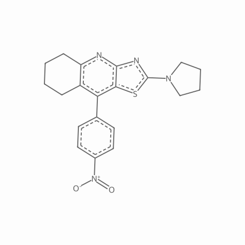 O=[N+]([O-])c1ccc(-c2c3c(nc4nc(N5CCCC5)sc24)CCCC3)cc1